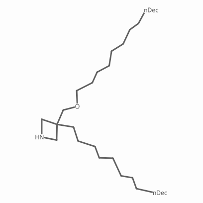 CCCCCCCCCCCCCCCCCCOCC1(CCCCCCCCCCCCCCCCCC)CNC1